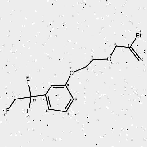 C=C(CC)COCCOc1cccc(C(F)(F)CF)c1